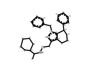 CC(NOCc1nn(Cc2ccccc2)c2c1CCCC2c1ccccc1)C1CCCCC1